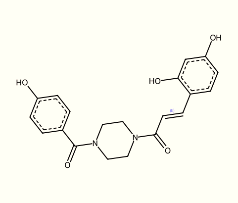 O=C(/C=C/c1ccc(O)cc1O)N1CCN(C(=O)c2ccc(O)cc2)CC1